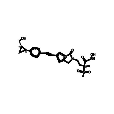 C[C@@](CCN1Cc2cc(C#Cc3ccc([C@H]4C[C@@H]4CO)cc3)cn2C1=O)(C(=O)NO)S(C)(=O)=O